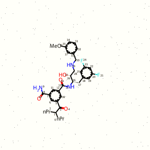 CCCC(CCC)C(=O)c1cc(C(N)=O)cc(C(=O)N[C@@H](Cc2cc(F)cc(F)c2)[C@H](O)CNCc2cccc(OC)c2)c1